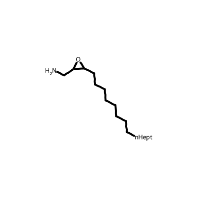 CCCCCCCCCCCCCCCC1OC1CN